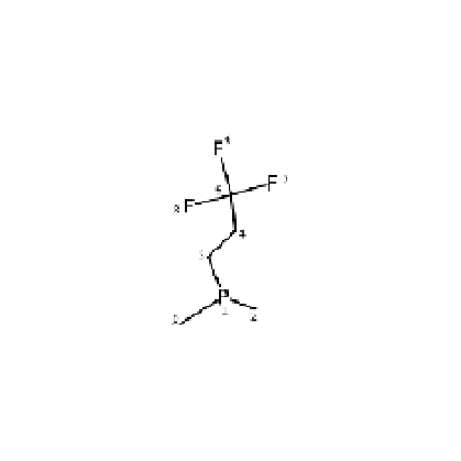 [CH2]P(C)CCC(F)(F)F